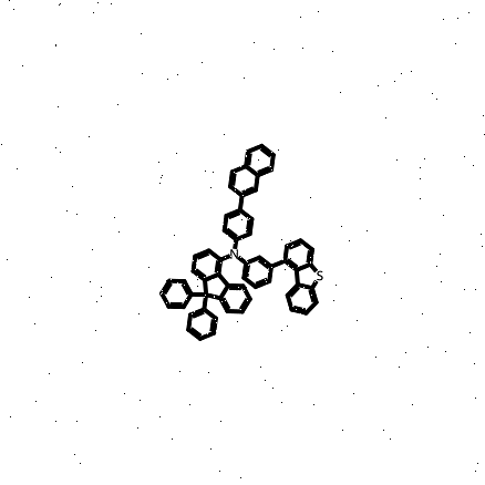 c1ccc(C2(c3ccccc3)c3ccccc3-c3c(N(c4ccc(-c5ccc6ccccc6c5)cc4)c4cccc(-c5cccc6sc7ccccc7c56)c4)cccc32)cc1